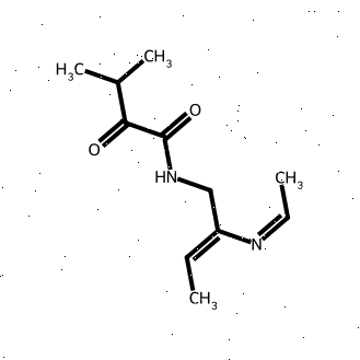 C/C=N\C(=C/C)CNC(=O)C(=O)C(C)C